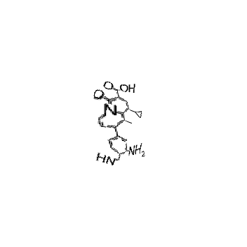 Cc1c(-c2ccc(C=N)c(N)c2)ccn2c(=O)c(C(=O)O)cc(C3CC3)c12